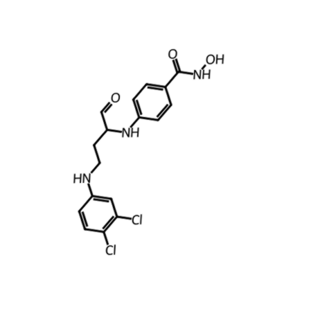 O=CC(CCNc1ccc(Cl)c(Cl)c1)Nc1ccc(C(=O)NO)cc1